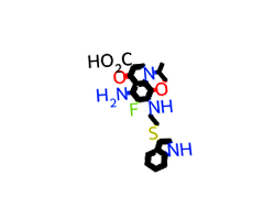 CC1COc2c(NCCSc3c[nH]c4ccccc34)c(F)c(N)c3c(=O)c(C(=O)O)cn1c23